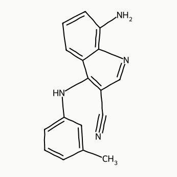 Cc1cccc(Nc2c(C#N)cnc3c(N)cccc23)c1